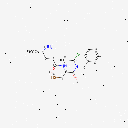 CCOC(=O)C(N)CCC(=O)NC(CS)C(=O)N(Cc1ccccc1)C(Br)C(=O)OCC